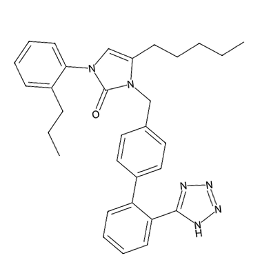 CCCCCc1cn(-c2ccccc2CCC)c(=O)n1Cc1ccc(-c2ccccc2-c2nnn[nH]2)cc1